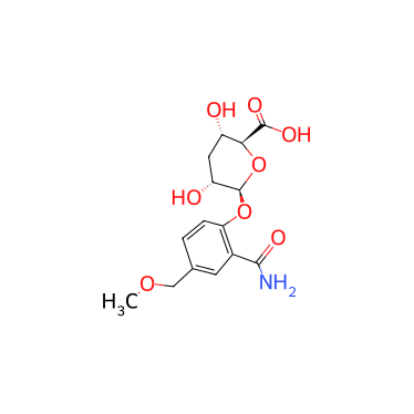 COCc1ccc(O[C@@H]2O[C@H](C(=O)O)[C@@H](O)C[C@H]2O)c(C(N)=O)c1